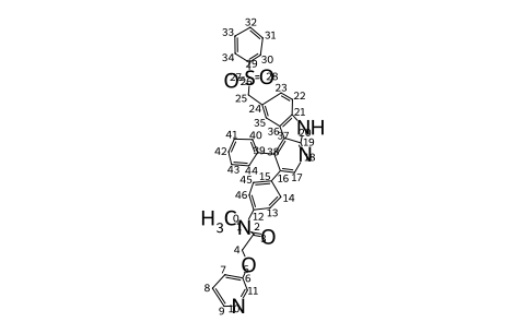 CN(C(=O)COc1cccnc1)c1ccc(-c2cnc3[nH]c4ccc(CS(=O)(=O)c5ccccc5)cc4c3c2-c2ccccc2)cc1